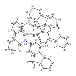 CC1(C)c2ccccc2-c2ccc(N(c3ccccc3-c3ccccc3)c3cccc4c3-c3ccc(-c5ccccc5)cc3C43c4ccccc4-c4ccccc43)cc21